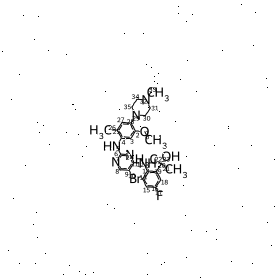 COc1cc(Nc2ncc(Br)c(Nc3ccc(F)cc3C(C)(C)O)n2)c(C)cc1N1CCN(C)CC1